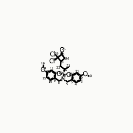 COc1ccc(CN(Cc2ccc(OC)cc2)S(=O)(=O)C(C)CC2CC(=O)C2(Cl)Cl)cc1